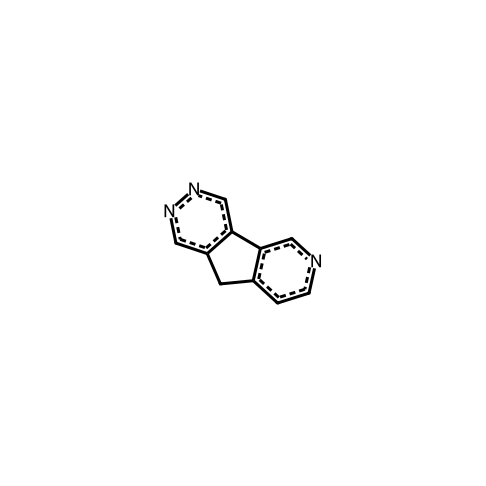 c1cc2c(cn1)-c1cnncc1C2